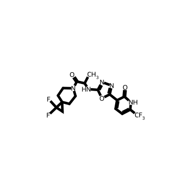 CC(Nc1nnc(-c2ccc(C(F)(F)F)[nH]c2=O)o1)C(=O)N1CCC2(CC1)CC2(F)F